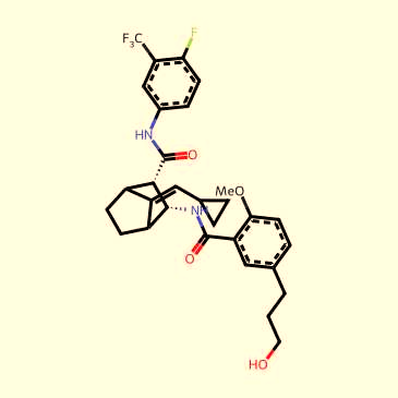 COc1ccc(CCCO)cc1C(=O)N[C@@H]1C2CCC(/C2=C/C2CC2)[C@@H]1C(=O)Nc1ccc(F)c(C(F)(F)F)c1